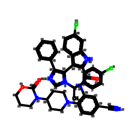 CC(c1ccc(Cl)cc1)n1cnc(-c2ccccc2)c1-c1c(C(=O)Nc2cc(C#N)ccc2N2CCC(N3CCCOC3=O)CC2)[nH]c2cc(Cl)ccc12